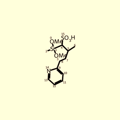 CO[Si](C)(OC)C(C(C)CCc1ccccn1)S(=O)(=O)O